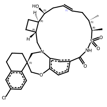 C[C@@H]1[C@@H](C)C/C=C/C[C@H](O)[C@@H]2CC[C@H]2CN2C[C@@]3(CCCc4cc(Cl)ccc43)COc3ccc(cc32)C(=O)NS1(=O)=O